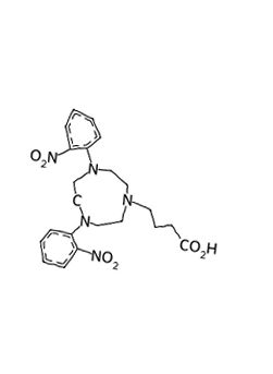 O=C(O)CCCN1CCN(c2ccccc2[N+](=O)[O-])CCN(c2ccccc2[N+](=O)[O-])CC1